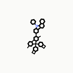 Cc1ccc2c(c1)C(c1ccc3c(c1)CC3)(c1ccc3c(c1)CC3)c1cc(C)c(-c3ccc4c(c3)c3ccc5ccccc5c3n4-c3ccccc3)cc1-2